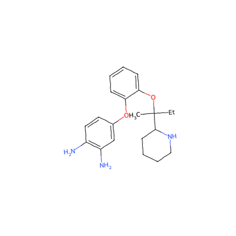 CCC(C)(Oc1ccccc1Oc1ccc(N)c(N)c1)C1CCCCN1